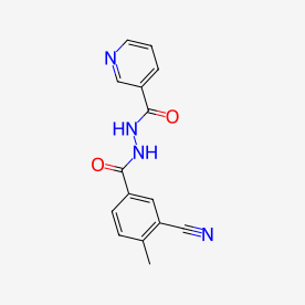 Cc1ccc(C(=O)NNC(=O)c2cccnc2)cc1C#N